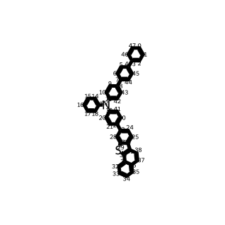 c1ccc(-c2ccc(-c3ccc(N(c4ccccc4)c4ccc(-c5ccc6c(c5)sc5c7ccccc7ccc65)cc4)cc3)cc2)cc1